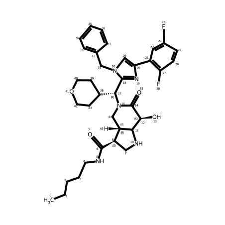 CCCCCNC(=O)[C@@H]1CNC2[C@H](O)C(=O)N([C@@H](c3nc(-c4cc(F)ccc4F)cn3Cc3ccccc3)C3CCOCC3)C[C@H]21